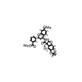 COC(=O)c1cccc([C@H]2C[C@@H](NC(=O)[C@@]3(C)COc4cc5c(cc43)OC(F)(F)O5)c3ccc(OC)cc3O2)c1